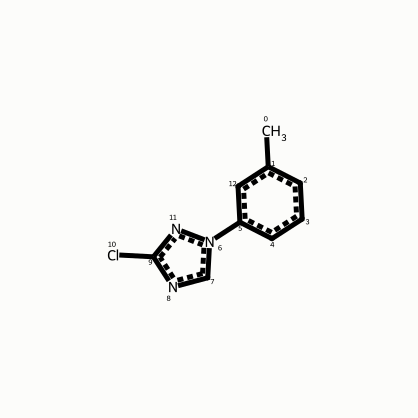 Cc1cccc(-n2cnc(Cl)n2)c1